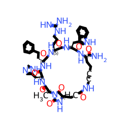 C[C@@H]1C(=O)N[C@@H](Cc2cnc[nH]2)C(=O)N[C@H](CCc2ccccc2)C(=O)N[C@@H](CCCNC(=N)N)C(=O)N[C@@H](Cc2c[nH]c3ccccc23)C(=O)N[C@H](C(N)=O)CCCCCNC(=O)CC[C@@H]2NC(=O)N1C2=O